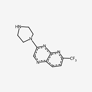 FC(F)(F)c1ccc2ncc(N3CCNCC3)nc2n1